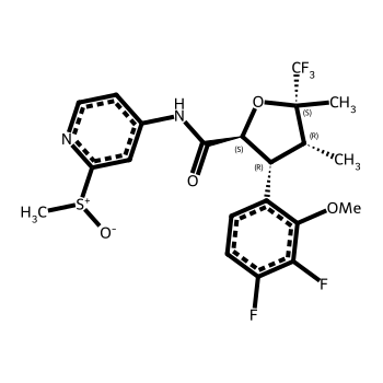 COc1c([C@@H]2[C@@H](C(=O)Nc3ccnc([S+](C)[O-])c3)O[C@](C)(C(F)(F)F)[C@@H]2C)ccc(F)c1F